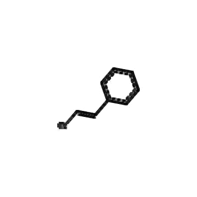 C[C]C=Cc1ccccc1